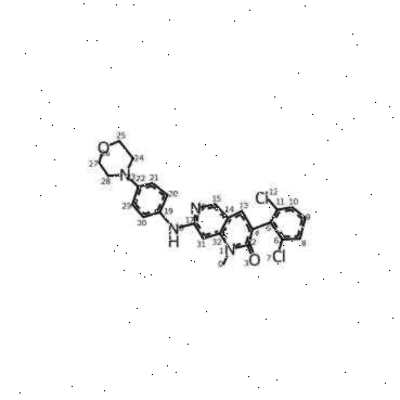 Cn1c(=O)c(-c2c(Cl)cccc2Cl)cc2cnc(Nc3ccc(N4CCOCC4)cc3)cc21